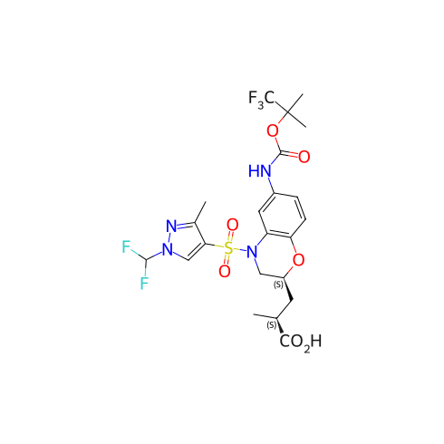 Cc1nn(C(F)F)cc1S(=O)(=O)N1C[C@H](C[C@H](C)C(=O)O)Oc2ccc(NC(=O)OC(C)(C)C(F)(F)F)cc21